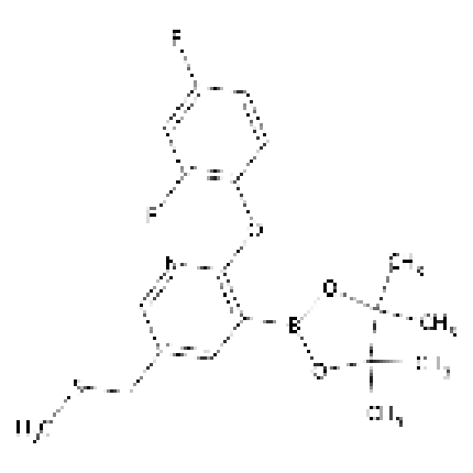 CSCc1cnc(Oc2ccc(F)cc2F)c(B2OC(C)(C)C(C)(C)O2)c1